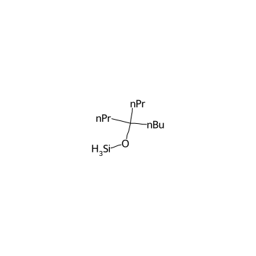 CCCCC(CCC)(CCC)O[SiH3]